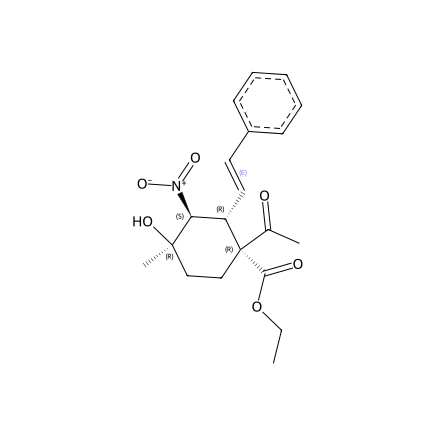 CCOC(=O)[C@]1(C(C)=O)CC[C@@](C)(O)[C@@H]([N+](=O)[O-])[C@@H]1/C=C/c1ccccc1